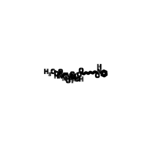 CCOC(=O)Nc1ccn([C@@H]2O[C@H](COC(=O)CCCCCCC(=O)Nc3ccccc3)[C@@H](O)C2(F)F)c(=O)n1